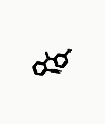 [C-]#[N+]c1ccccc1N(C)c1cccc(Br)c1